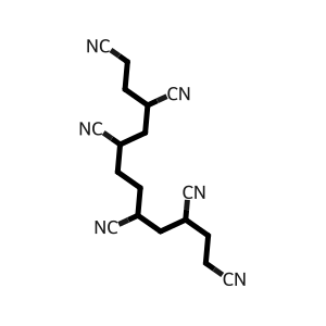 N#CCCC(C#N)CC(C#N)CCC(C#N)CC(C#N)CCC#N